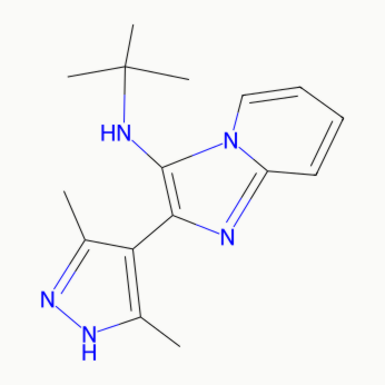 Cc1n[nH]c(C)c1-c1nc2ccccn2c1NC(C)(C)C